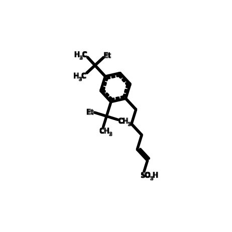 CCC(C)(C)c1ccc(CCCC=CS(=O)(=O)O)c(C(C)(C)CC)c1